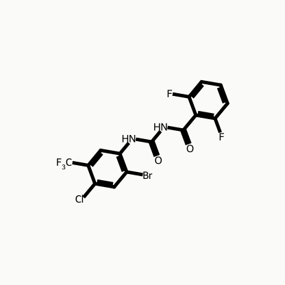 O=C(NC(=O)c1c(F)cccc1F)Nc1cc(C(F)(F)F)c(Cl)cc1Br